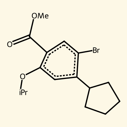 COC(=O)c1cc(Br)c(C2CCCC2)cc1OC(C)C